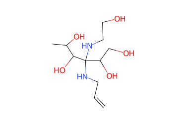 C=CCNC(NCCO)(C(O)CO)C(O)C(C)O